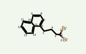 BrC(Br)CCCc1cccc2ccccc12